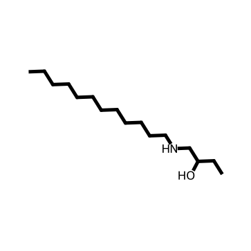 CCCCCCCCCCCCNCC(O)CC